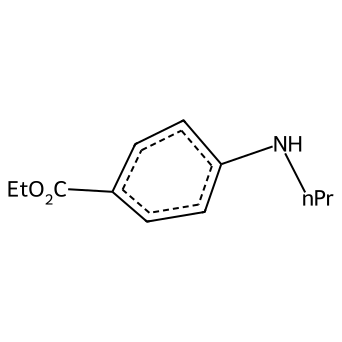 CCCNc1ccc(C(=O)OCC)cc1